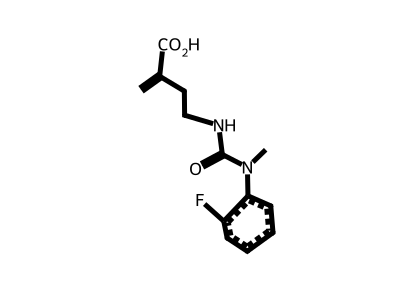 C=C(CCNC(=O)N(C)c1ccccc1F)C(=O)O